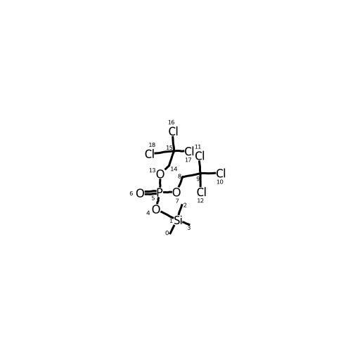 C[Si](C)(C)OP(=O)(OCC(Cl)(Cl)Cl)OCC(Cl)(Cl)Cl